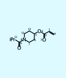 C=CC(=O)OC1CCN(C(=O)C(C)C)CC1